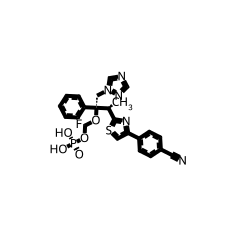 C[C@@H](c1nc(-c2ccc(C#N)cc2)cs1)[C@@](Cn1cncn1)(OCOP(=O)(O)O)c1ccccc1F